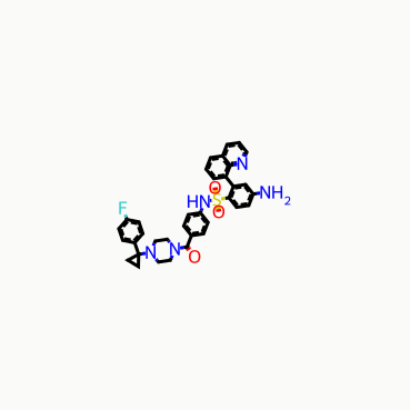 Nc1ccc(S(=O)(=O)Nc2ccc(C(=O)N3CCN(C4(c5ccc(F)cc5)CC4)CC3)cc2)c(-c2cccc3cccnc23)c1